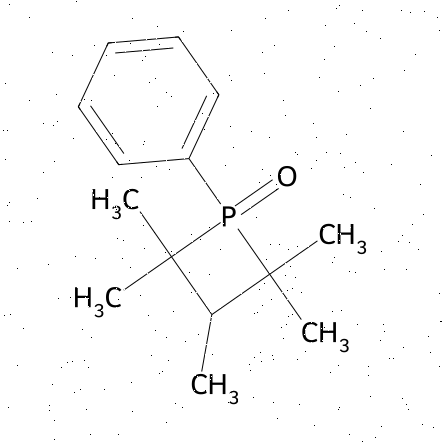 CC1C(C)(C)P(=O)(c2ccccc2)C1(C)C